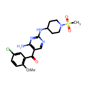 COc1ccc(Cl)cc1C(=O)c1cnc(NC2CCN(S(C)(=O)=O)CC2)nc1N